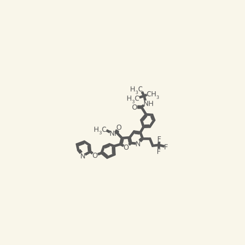 CNC(=O)c1c(-c2ccc(Oc3ccccn3)cc2)oc2nc(CCC(F)(F)F)c(-c3cccc(C(=O)NC(C)(C)C)c3)cc12